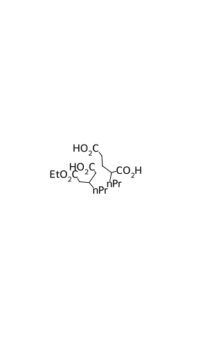 CCCC(CC(=O)O)CC(=O)OCC.CCCC(CCC(=O)O)C(=O)O